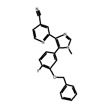 Cn1cnc(-c2cc(C#N)ccn2)c1-c1ccc(F)c(OCc2ccccc2)c1